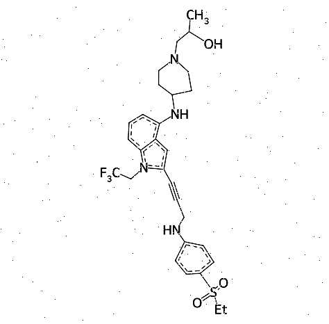 CCS(=O)(=O)c1ccc(NCC#Cc2cc3c(NC4CCN(CC(C)O)CC4)cccc3n2CC(F)(F)F)cc1